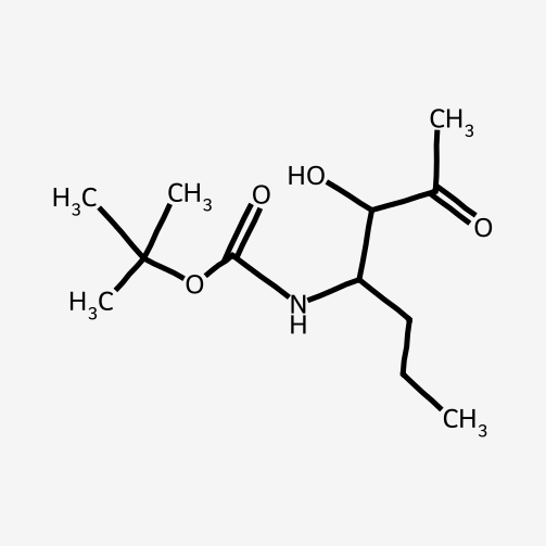 CCCC(NC(=O)OC(C)(C)C)C(O)C(C)=O